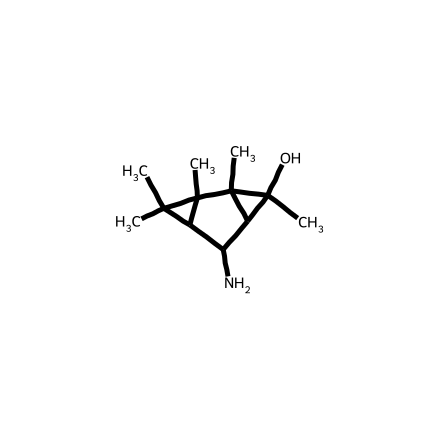 CC1(C)C2C(N)C3C(C)(O)C3(C)C21C